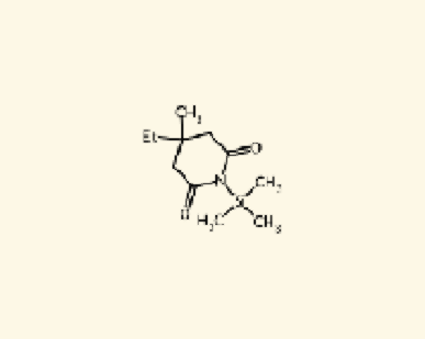 CCC1(C)CC(=O)N([Si](C)(C)C)C(=O)C1